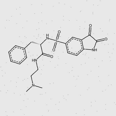 CN(C)CCNC(=O)[C@H](Cc1ccccc1)NS(=O)(=O)c1ccc2c(c1)C(=O)C(=O)N2